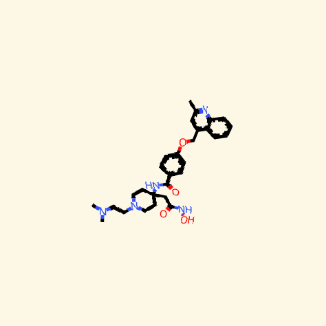 Cc1cc(COc2ccc(C(=O)NC3(CC(=O)NO)CCN(CCN(C)C)CC3)cc2)c2ccccc2n1